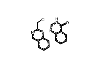 ClCc1ncc2ccccc2n1.O=c1[nH]cnc2ccccc12